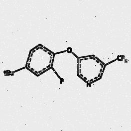 CC(C)(C)c1ccc(Oc2cncc(C(F)(F)F)c2)c(F)c1